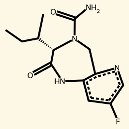 CCC(C)[C@H]1C(=O)Nc2cc(F)cnc2CN1C(N)=O